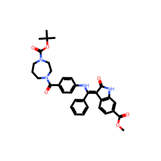 COC(=O)c1ccc2c(c1)NC(=O)/C2=C(\Nc1ccc(C(=O)N2CCCN(C(=O)OC(C)(C)C)CC2)cc1)c1ccccc1